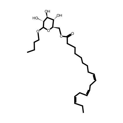 CC/C=C\C/C=C\C/C=C\CCCCCCCC(=O)OC[C@H]1OC(OCCCC)[C@H](O)[C@@H](O)[C@@H]1O